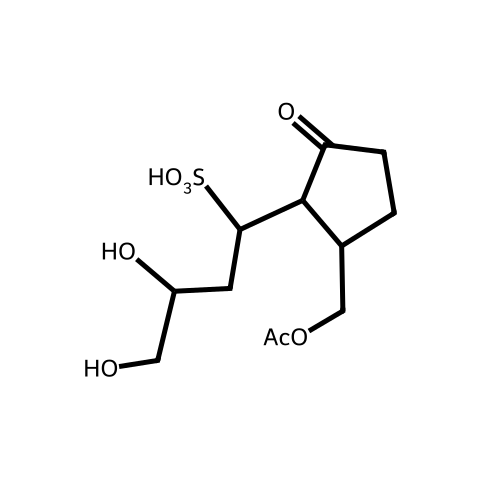 CC(=O)OCC1CCC(=O)C1C(CC(O)CO)S(=O)(=O)O